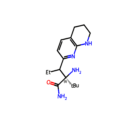 CCC(c1ccc2c(n1)NCCC2)[C@@](N)(C(N)=O)C(C)(C)C